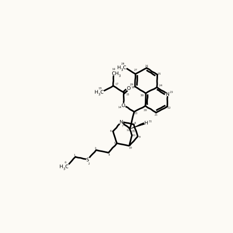 CCSCCC1CN2CCC1C[C@H]2C(OC(=O)C(C)C)c1ccnc2ccc(C)cc12